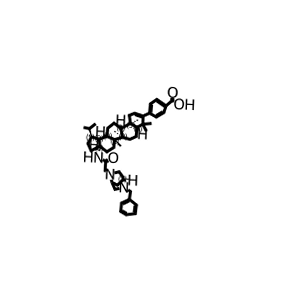 CC(C)[C@@H]1CC[C@]2(NC(=O)CN3C[C@@H]4CC3CN4Cc3ccccc3)CC[C@]3(C)[C@H](CC[C@@H]4[C@@]5(C)CC=C(c6ccc(C(=O)O)cc6)C(C)(C)[C@@H]5CC[C@]43C)[C@@H]12